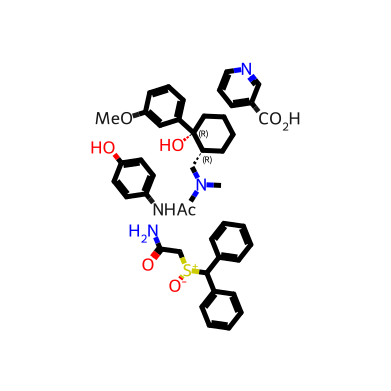 CC(=O)Nc1ccc(O)cc1.COc1cccc([C@@]2(O)CCCC[C@@H]2CN(C)C)c1.NC(=O)C[S+]([O-])C(c1ccccc1)c1ccccc1.O=C(O)c1cccnc1